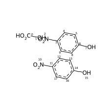 O=C(O)O.O=[N+]([O-])c1ccc(O)cc1.O=[N+]([O-])c1ccc(O)cc1